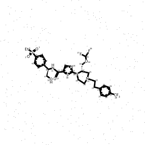 CCS(=O)(=O)c1ccc([C@H](CO)NC(=O)c2cnc(N3CCN(CCc4ccc(C(F)(F)F)cc4)C[C@H]3COC(F)F)s2)cc1